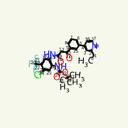 CCc1cc(-c2cccc(C(=O)CC(=O)Nc3cc(C(F)(F)F)c(Cl)cc3NC(=O)OC(C)(C)C)c2)ccn1